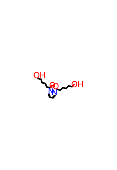 O=C(CCCCCO)N1C=CC=CN1C(=O)CCCCCO